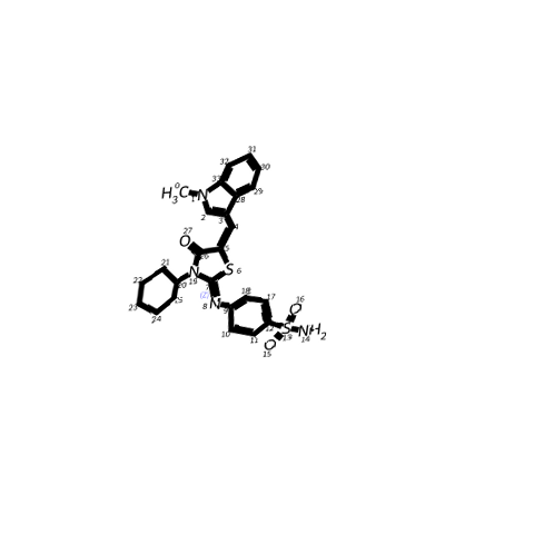 Cn1cc(C=C2S/C(=N\c3ccc(S(N)(=O)=O)cc3)N(C3CCCCC3)C2=O)c2ccccc21